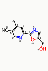 Cc1cc(-c2ncc(CO)o2)ncc1C#N